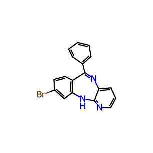 Brc1ccc2c(c1)Nc1ncccc1N=C2c1ccccc1